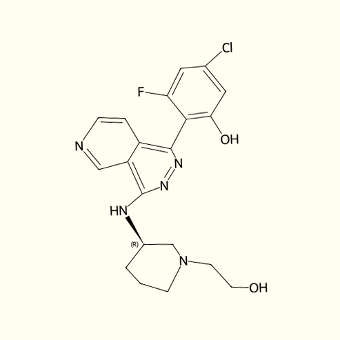 OCCN1CCC[C@@H](Nc2nnc(-c3c(O)cc(Cl)cc3F)c3ccncc23)C1